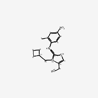 Cc1cc([N+](=O)[O-])ccc1N=c1scc(CC(C)C)n1CC1CCC1